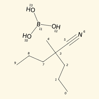 CCCC(C)(C#N)CCC.OB(O)O